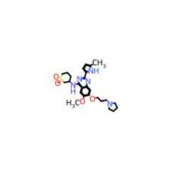 COc1cc2c(NC3CCCS(=O)(=O)C3)nc(-c3ccc(C)[nH]3)nc2cc1OCCCN1CCCC1